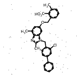 Cc1cccc(COc2cc(C)c3nc(C)n(Cc4ccc(-c5ccccc5)cc4Cl)c3c2)c1C(=O)O